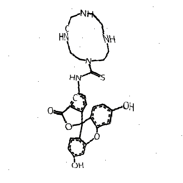 O=C1OC2(c3ccc(O)cc3Oc3cc(O)ccc32)c2ccc(NC(=S)N3CCNCCNCCNCC3)cc21